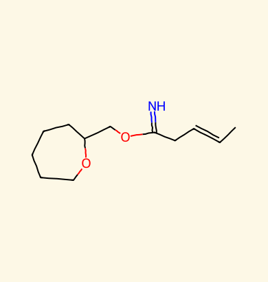 C/C=C/CC(=N)OCC1CCCCCO1